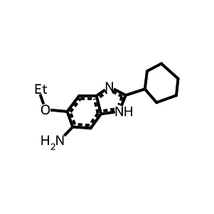 CCOc1cc2nc(C3CCCCC3)[nH]c2cc1N